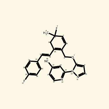 CC1(F)C=CC(COc2ccnn2-c2cc(C#N)ccn2)=C(/C=C/c2ccc(F)cc2)C1